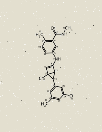 CNC(=O)c1cc(NC2=CC3(Cl)C2C3c2cc(C)cc(Cl)c2)ccc1C